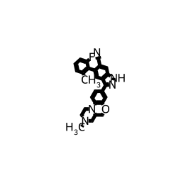 Cc1cccc(F)c1-c1cc2c(-c3ccc4c(c3)OCC3CN(C)CCN43)n[nH]c2cc1C#N